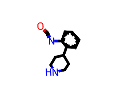 O=C=Nc1ccccc1C1CCNCC1